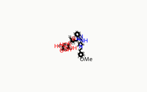 COc1ccc(CCN2CCC(Nc3nc4ccccc4n3Cc3ccc(C)o3)C2)cc1.O=C(O)C(=O)O.O=C(O)C(=O)O